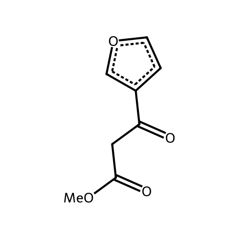 COC(=O)CC(=O)c1ccoc1